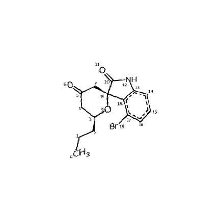 CCC[C@H]1CC(=O)C[C@@]2(O1)C(=O)Nc1cccc(Br)c12